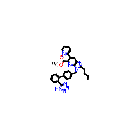 CCCCc1nc2cc(-c3cccc[n+]3[O-])c(CO[11CH3])nc2n1Cc1ccc(-c2ccccc2-c2nnn[nH]2)cc1